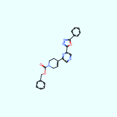 O=C(OCc1ccccc1)N1CC=C(c2cncc(-c3nnc(-c4ccccc4)o3)n2)CC1